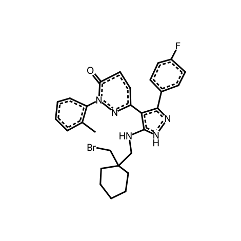 Cc1ccccc1-n1nc(-c2c(-c3ccc(F)cc3)n[nH]c2NCC2(CBr)CCCCC2)ccc1=O